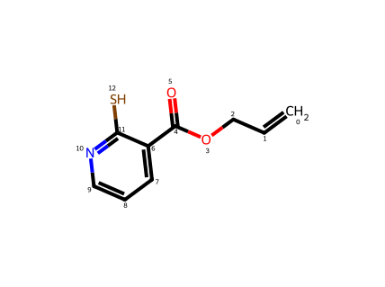 C=CCOC(=O)c1cccnc1S